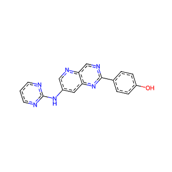 Oc1ccc(-c2ncc3ncc(Nc4ncccn4)cc3n2)cc1